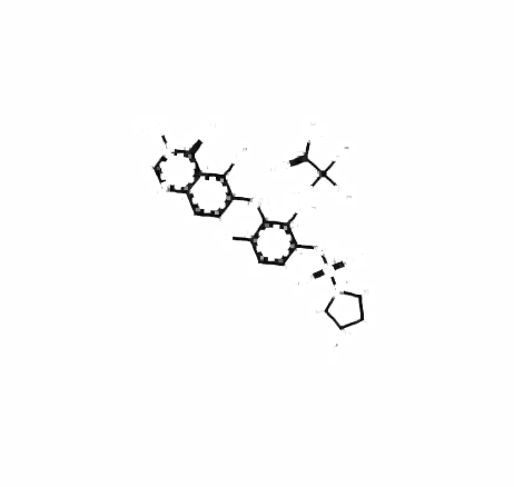 Cn1cnc2ccc(Nc3c(F)ccc(NS(=O)(=O)N4CC[C@H](F)C4)c3Cl)c(F)c2c1=O.O=C(O)C(F)(F)F